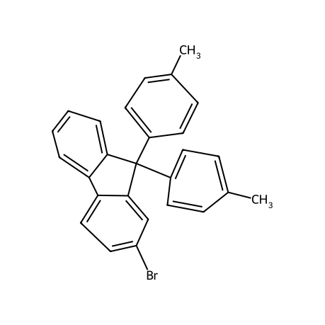 Cc1ccc(C2(c3ccc(C)cc3)c3ccccc3-c3ccc(Br)cc32)cc1